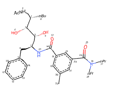 CCCC[C@@H](NC(C)=O)[C@@H](O)[C@H](O)[C@H](Cc1ccccc1)NC(=O)c1cc(C)cc(C(=O)N(CCC)CCC)c1